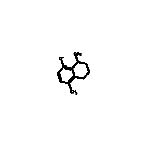 CC(=O)OC1CCCc2c(C)cc[n+]([O-])c21